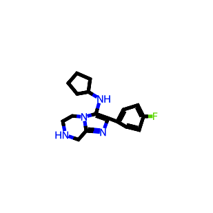 Fc1ccc(-c2nc3n(c2NC2CCCC2)CCNC3)cc1